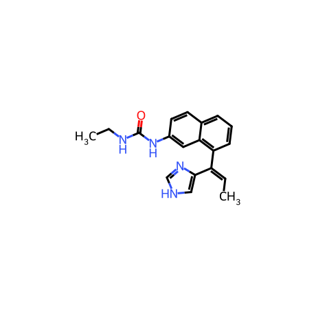 C/C=C(\c1c[nH]cn1)c1cccc2ccc(NC(=O)NCC)cc12